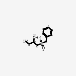 O=S(=O)(Cc1ccccc1)CC(O)CCl